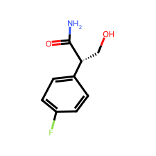 NC(=O)[C@H](CO)c1ccc(F)cc1